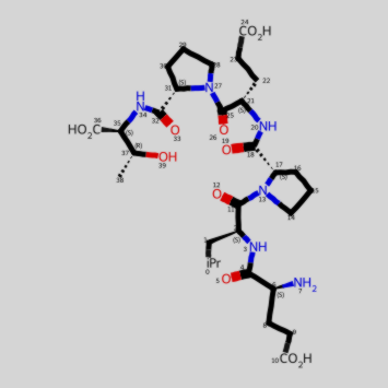 CC(C)C[C@H](NC(=O)[C@@H](N)CCC(=O)O)C(=O)N1CCC[C@H]1C(=O)N[C@@H](CCC(=O)O)C(=O)N1CCC[C@H]1C(=O)N[C@H](C(=O)O)[C@@H](C)O